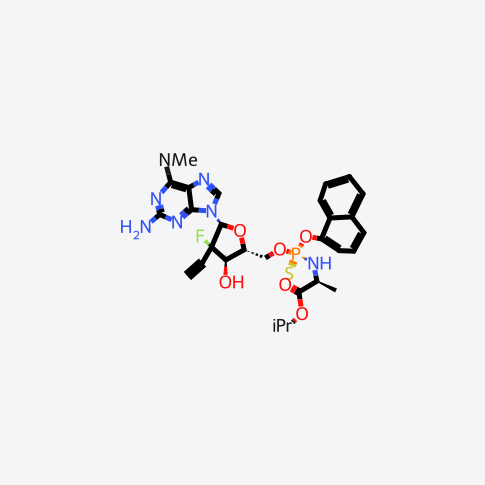 C#C[C@@]1(F)[C@H](O)[C@@H](CO[P@@](=S)(N[C@@H](C)C(=O)OC(C)C)Oc2cccc3ccccc23)O[C@H]1n1cnc2c(NC)nc(N)nc21